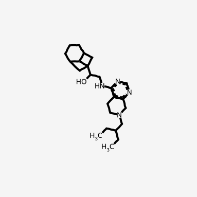 CCC(CC)CN1CCc2c(ncnc2NCC(O)C23CC4CCCC(C2)C43)C1